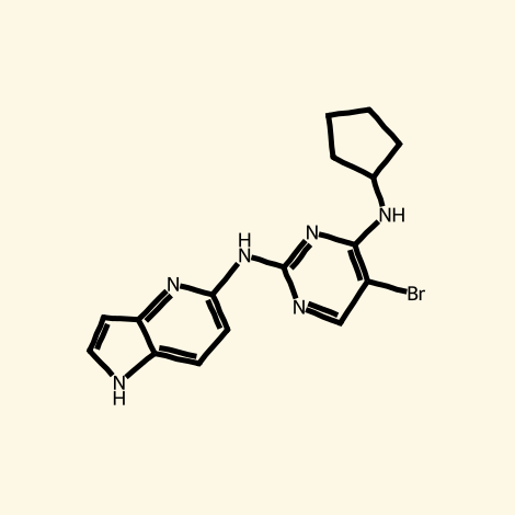 Brc1cnc(Nc2ccc3[nH]ccc3n2)nc1NC1CCCC1